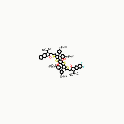 [C-]#[N+]/C(C#N)=C1\C(=C\c2cc3c(s2)-c2sc4c(OCCCCCCCC)c5c6c(sc5c(O)c4c2C3(c2ccc(CCCCCC)cc2)c2ccc(CCCCCC)cc2)-c2sc(/C=C3\C(=O)c4cc5cc(F)c(F)cc5cc4\C3=C(\C#N)[N+]#[C-])cc2C6(c2ccc(CCCCCC)cc2)c2ccc(CCCCCC)cc2)C(=O)c2cc3ccccc3cc21